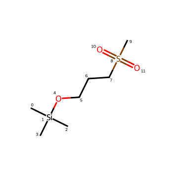 C[Si](C)(C)OCCCS(C)(=O)=O